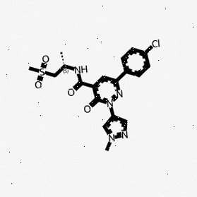 C[C@@H](CS(C)(=O)=O)NC(=O)c1cc(-c2ccc(Cl)cc2)nn(-c2cnn(C)c2)c1=O